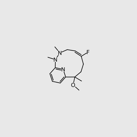 COC1(C)CC/C(F)=C\CN(C)N(C)c2cccc1n2